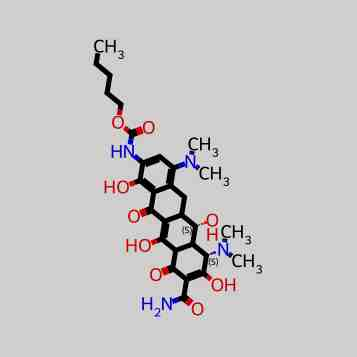 CCCCCOC(=O)Nc1cc(N(C)C)c2c(c1O)C(=O)C1=C(O)C3C(=O)C(C(N)=O)=C(O)[C@@H](N(C)C)C3[C@@H](O)C1C2